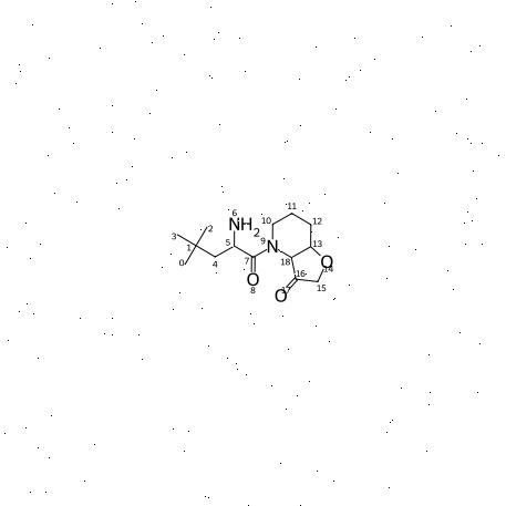 CC(C)(C)CC(N)C(=O)N1CCCC2OCC(=O)C21